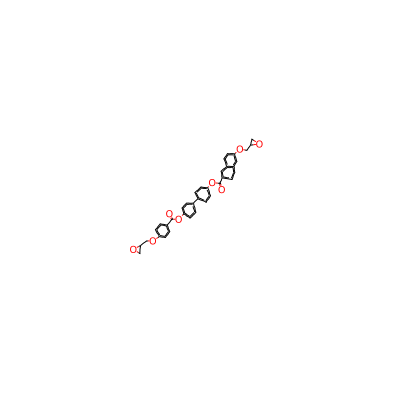 O=C(Oc1ccc(-c2ccc(OC(=O)c3ccc4cc(OCC5CO5)ccc4c3)cc2)cc1)c1ccc(OCC2CO2)cc1